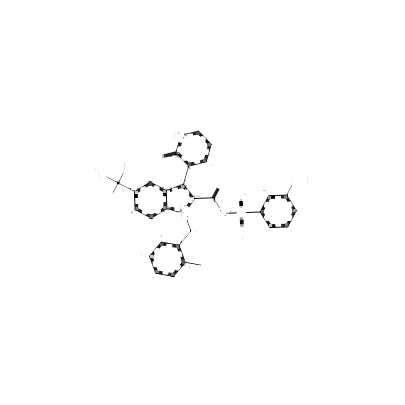 Cc1cccc(S(=O)(=O)NC(=O)c2c(-c3ccc[nH]c3=O)c3cc(C(F)(F)F)ccc3n2Cc2ccccc2F)c1